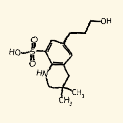 CC1(C)CNc2c(cc(CCCO)cc2S(=O)(=O)O)C1